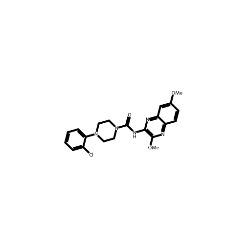 COc1ccc2nc(OC)c(NC(=O)N3CCN(c4ccccc4Cl)CC3)nc2c1